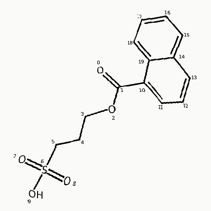 O=C(OCCCS(=O)(=O)O)c1cccc2ccccc12